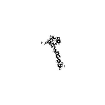 Cc1nc(Nc2ncc(C(=O)Nc3c(C)cccc3Cl)s2)cc(N2CCN(CCCC(=O)N3CCC4(CCN(c5ccc(-n6ccc(=O)[nH]c6=O)cc5)CC4)C3)CC2)n1